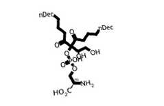 CCCCCCCCCCCCCC(=O)C(OP(=O)(O)OC[C@H](N)C(=O)O)(C(=O)CCCCCCCCCCCCC)[C@@H](O)CO